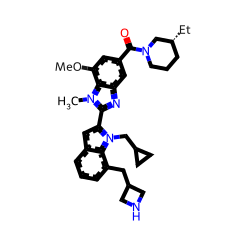 CC[C@@H]1CCCN(C(=O)c2cc(OC)c3c(c2)nc(-c2cc4cccc(CC5CNC5)c4n2CC2CC2)n3C)C1